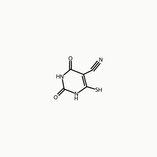 N#Cc1c(S)[nH]c(=O)[nH]c1=O